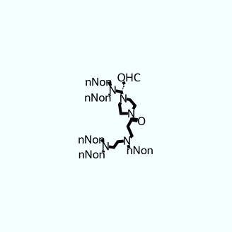 CCCCCCCCCN(CCCCCCCCC)CCN(CCCCCCCCC)CCC(=O)N1CCN([C@@H](CC=O)N(CCCCCCCCC)CCCCCCCCC)CC1